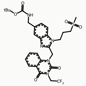 CC(C)(C)OC(=O)NCc1ccc2c(c1)nc(Cn1c(=O)n(CC(F)(F)F)c(=O)c3ccccc31)n2CCCS(C)(=O)=O